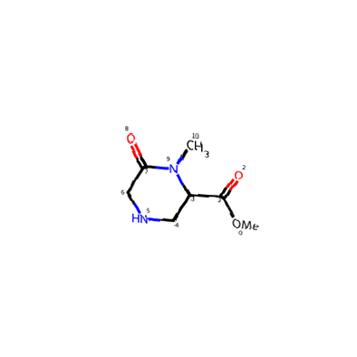 COC(=O)C1CNCC(=O)N1C